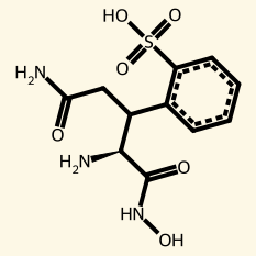 NC(=O)CC(c1ccccc1S(=O)(=O)O)[C@H](N)C(=O)NO